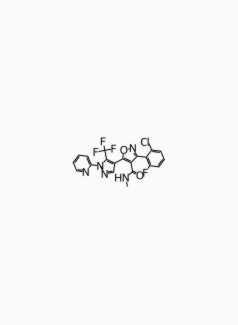 CNC(=O)c1c(-c2c(F)cccc2Cl)noc1-c1cnn(-c2ccccn2)c1C(F)(F)F